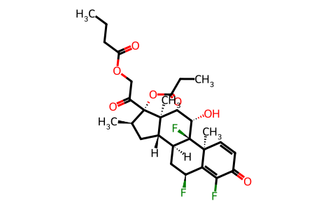 CCCC(=O)OCC(=O)[C@]1(OC(=O)CC)[C@H](C)C[C@H]2[C@@H]3C[C@H](F)C4=C(F)C(=O)C=C[C@]4(C)[C@@]3(F)[C@@H](O)C[C@@]21C